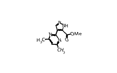 COC(=O)c1[nH]ncc1-c1nc(C)cc(C)n1